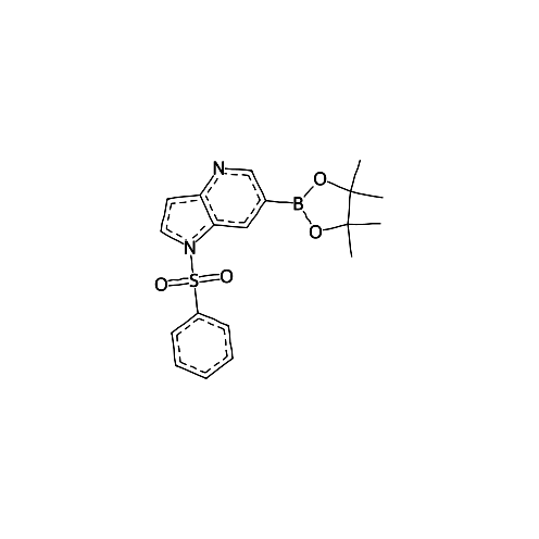 CC1(C)OB(c2cnc3ccn(S(=O)(=O)c4ccccc4)c3c2)OC1(C)C